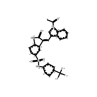 CC(=O)n1cc(C=C2C(=O)Nc3ccc(S(=O)(=O)Nc4ccc(C(F)(F)F)cc4)cc32)c2ccccc21